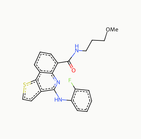 COCCCNC(=O)c1cccc2c1nc(Nc1ccccc1F)c1ccsc12